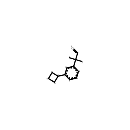 CC(C)(C=O)c1cccc(C2CCC2)c1